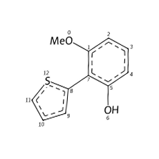 COc1cccc(O)c1-c1cccs1